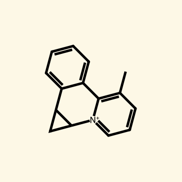 Cc1ccc[n+]2c1-c1ccccc1C1CC12